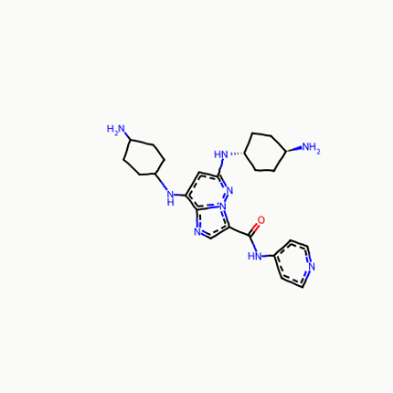 NC1CCC(Nc2cc(N[C@H]3CC[C@H](N)CC3)nn3c(C(=O)Nc4ccncc4)cnc23)CC1